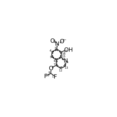 O=[N+]([O-])c1ccc2c(OC(F)F)ccnc2c1O